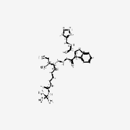 CC[C@H](C)[C@H](CNCC(=O)N1c2ccccc2C[C@H]1C(=O)NCc1nn[nH]n1)NCCCNC(=O)OC(C)(C)C